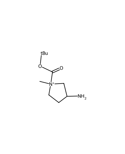 CC(C)(C)OC(=O)[N+]1(C)CCC(N)C1